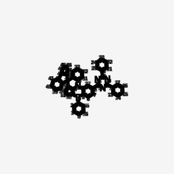 c1ccc(B2c3ccc(-c4nc(-c5ccccc5)nc(-c5ccccc5)n4)cc3N3c4ccccc4C4(c5ccccc5-c5ccccc54)c4cccc2c43)cc1